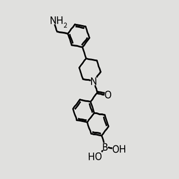 NCc1cccc(C2CCN(C(=O)c3cccc4cc(B(O)O)ccc34)CC2)c1